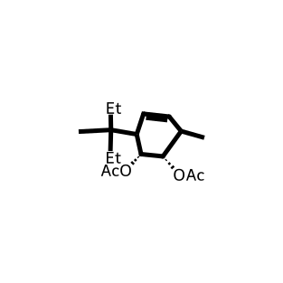 CCC(C)(CC)C1C=CC(C)[C@H](OC(C)=O)[C@@H]1OC(C)=O